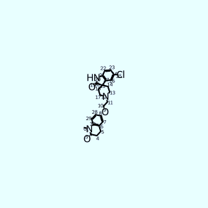 CN1C(=O)CCc2cc(OCCN3CCC4(CC3)C(=O)Nc3ccc(Cl)cc34)ccc21